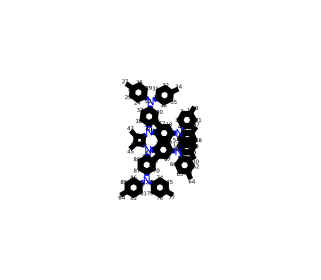 Cc1ccc(N(c2ccc(C)cc2)c2ccc3c(c2)c2cc(N(c4ccc(C)cc4)c4ccc(C)cc4)ccc2n3C2C(C)C(C)C2n2c3ccc(N(c4ccc(C)cc4)c4ccc(C)cc4)cc3c3cc(N(c4ccc(C)cc4)c4ccc(C)cc4)ccc32)cc1